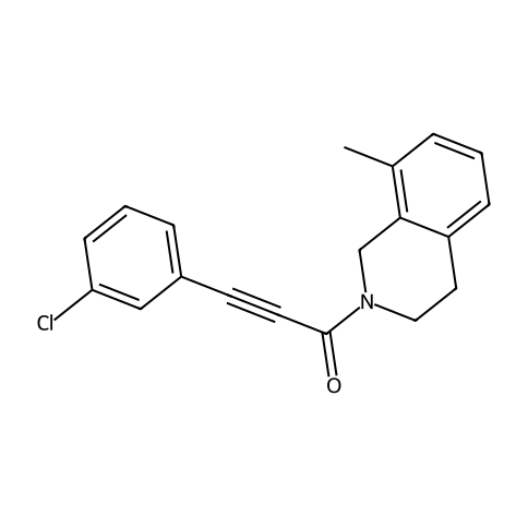 Cc1cccc2c1CN(C(=O)C#Cc1cccc(Cl)c1)CC2